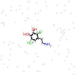 Cl.NCCc1ccc(O)c(O)c1Cl